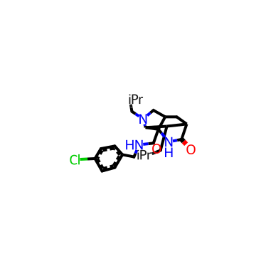 CC(C)CC1C2CC3CN(CC(C)C)C1C3(C(=O)NCc1ccc(Cl)cc1)NC2=O